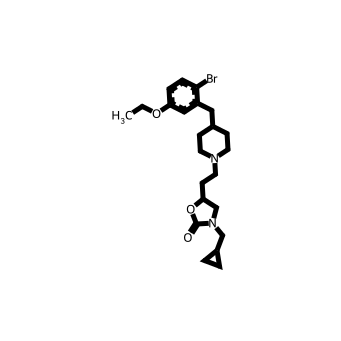 CCOc1ccc(Br)c(CC2CCN(CCC3CN(CC4CC4)C(=O)O3)CC2)c1